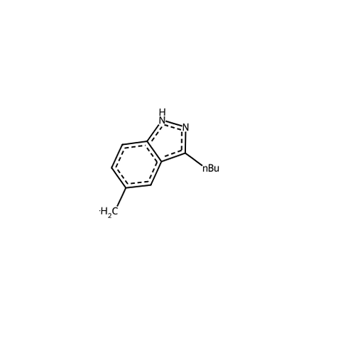 [CH2]c1ccc2[nH]nc(CCCC)c2c1